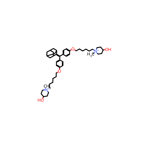 C[N+]1(CCCCCCOc2ccc(C(=C3C4CC5CC(C4)CC3C5)c3ccc(OCCCCCC[N+]4(C)CCC(O)CC4)cc3)cc2)CCC(O)CC1